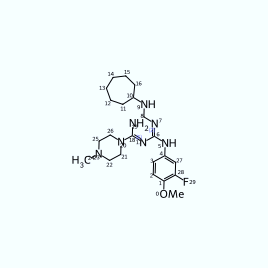 COc1ccc(NC(=N/CNC2CCCCCC2)/N=C(\N)N2CCN(C)CC2)cc1F